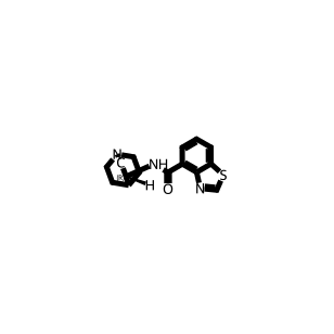 O=C(N[C@H]1CN2CCC1CC2)c1cccc2scnc12